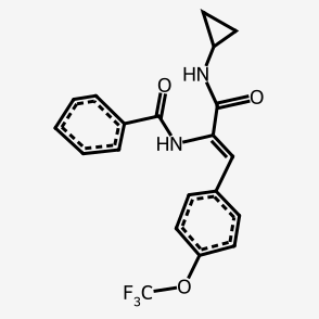 O=C(NC1CC1)/C(=C/c1ccc(OC(F)(F)F)cc1)NC(=O)c1ccccc1